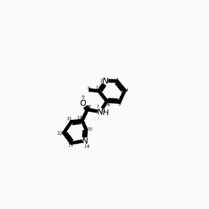 Cc1ncccc1NC(=O)c1cccnc1